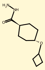 NNC(=O)[C@H]1CC[C@H](OC2CCC2)CC1